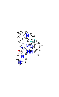 C=CCCCCn1c(=O)c(N2CCN(C(C)C)CC2)cc2c(NC(C)c3cccc(C(F)(F)C4CCN(C(=O)O)CC4)c3)ncnc21